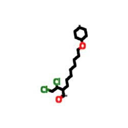 O=[C]C(CCCCCCCCOC1CC[CH]CC1)C(Cl)CCl